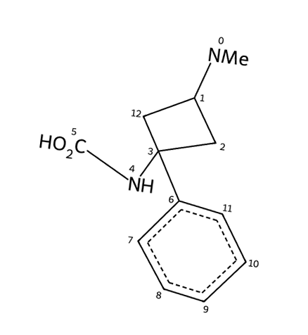 CNC1CC(NC(=O)O)(c2ccccc2)C1